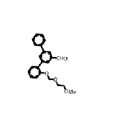 COCCOCOc1ccccc1-c1cc(C=O)cc(-c2ccccc2)c1